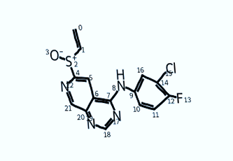 C=C[S+]([O-])c1cc2c(Nc3ccc(F)c(Cl)c3)ncnc2cn1